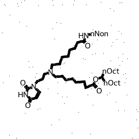 CCCCCCCCCNC(=O)CCCCCCCN(CCCCCCCC(=O)OC(CCCCCCCC)CCCCCCCC)CCCn1ccc(=O)[nH]c1=O